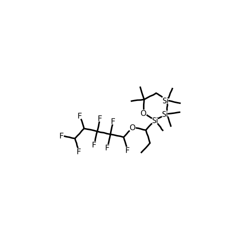 CCC(OC(F)C(F)(F)C(F)(F)C(F)C(F)F)[Si]1(C)OC(C)(C)C[Si](C)(C)[Si]1(C)C